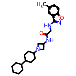 Cc1ccc2onc(NCC(=O)NC3CN(C4CCC(C5CCCCC5)CC4)C3)c2c1